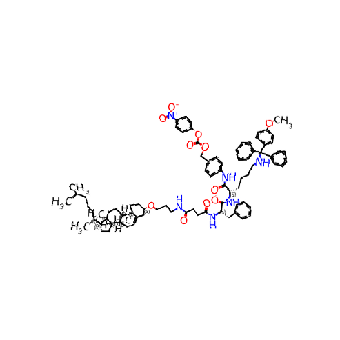 COc1ccc(C(NCCCC[C@H](NC(=O)[C@H](Cc2ccccc2)NC(=O)CCC(=O)NCCCO[C@H]2CC[C@@]3(C)C(=CC[C@H]4[C@@H]5CC[C@H]([C@H](C)CCCC(C)C)[C@@]5(C)CC[C@@H]43)C2)C(=O)Nc2ccc(COC(=O)Oc3ccc([N+](=O)[O-])cc3)cc2)(c2ccccc2)c2ccccc2)cc1